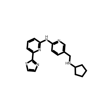 c1cc(Nc2ccc(CNC3CCCC3)cn2)nc(-c2nccs2)c1